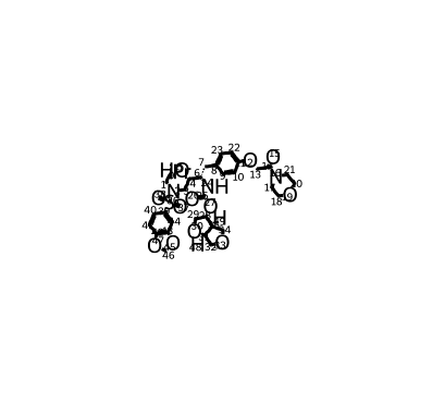 CC(C)CN(C[C@@H](O)[C@H](Cc1ccc(OCC(=O)N2CCOCC2)cc1)NC(=O)O[C@H]1CO[C@H]2COC[C@H]21)S(=O)(=O)c1ccc2c(c1)OCO2